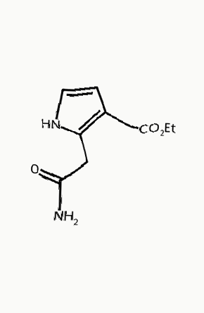 CCOC(=O)c1cc[nH]c1CC(N)=O